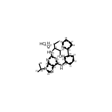 CCC(CO)Nc1nc(Nc2cccc(-c3ccccn3)c2)c2ncn(C(C)C)c2n1.Cl.O